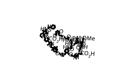 COCCNS(=O)(=O)NC(=O)OC[C@H](CC(=O)O)n1cc(COCc2cc(NC(=O)[C@H](CCCNC(N)=O)NC(=O)[C@@H](NC(=O)CCOCCN3C(=O)C=CC3=O)C(C)C)ccc2C[N+](C)(C)CCOC23CC4(C)CC(C)(C2)C(Cn2ncc(-c5ccc(N6CCCc7c6nnc(Nc6nc8ccccc8s6)c7C)nc5C(=O)O)c2C)(C4)C3)nn1